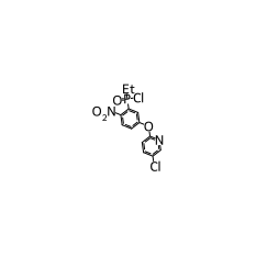 CCP(=O)(Cl)c1cc(Oc2ccc(Cl)cn2)ccc1[N+](=O)[O-]